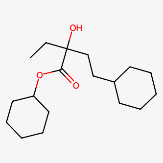 CCC(O)(CCC1CCCCC1)C(=O)OC1CCCCC1